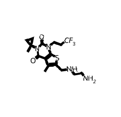 Cc1c(CNCCN)sc2c1c(=O)n(C1(C)CC1)c(=O)n2CCC(F)(F)F